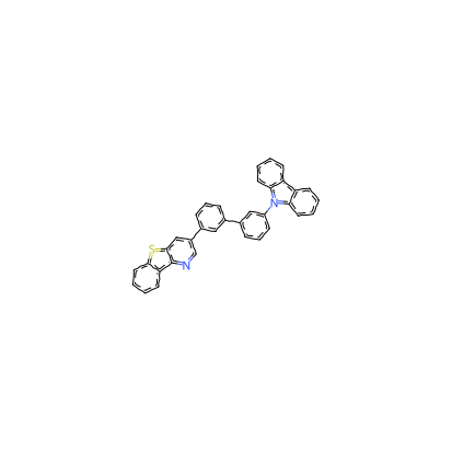 c1cc(-c2cccc(-n3c4ccccc4c4ccccc43)c2)cc(-c2cnc3c(c2)sc2ccccc23)c1